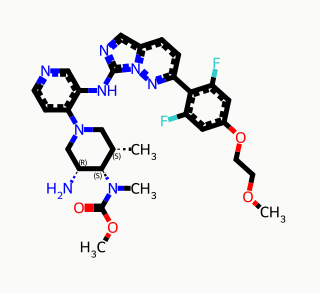 COCCOc1cc(F)c(-c2ccc3cnc(Nc4cnccc4N4C[C@@H](N)[C@@H](N(C)C(=O)OC)[C@@H](C)C4)n3n2)c(F)c1